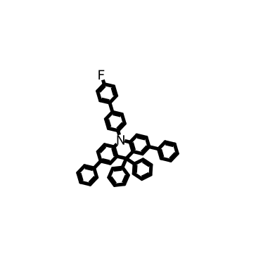 Fc1ccc(-c2ccc(N3c4ccc(-c5ccccc5)cc4C(c4ccccc4)(c4ccccc4)c4cc(-c5ccccc5)ccc43)cc2)cc1